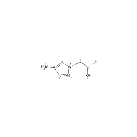 C[C@H](O)Cn1cc(N)cn1